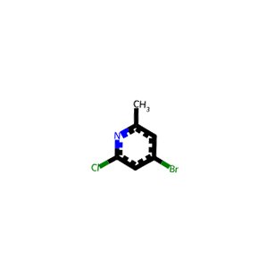 Cc1cc(Br)cc(Cl)n1